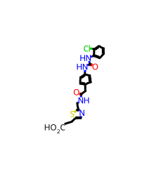 O=C(O)CCc1cnc(CNC(=O)Cc2ccc(NC(=O)Nc3ccccc3Cl)cc2)s1